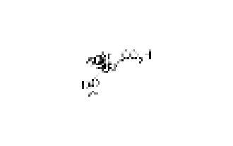 C=C(C)C(=O)OCCC[Si](O[Si](C)(C)C)(O[Si](C)(C)C)O[Si](C)(C)CCCC(=O)O